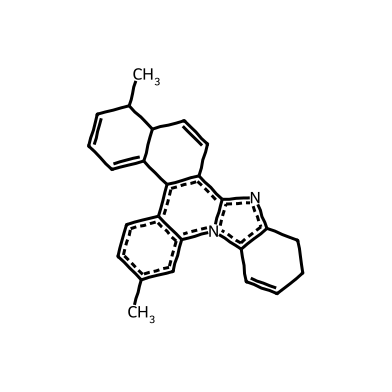 Cc1ccc2c3c(c4nc5c(n4c2c1)C=CCC5)C=CC1C3=CC=CC1C